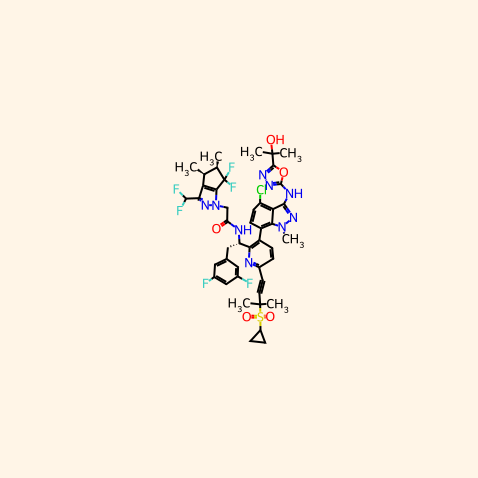 C[C@@H]1c2c(C(F)F)nn(CC(=O)N[C@@H](Cc3cc(F)cc(F)c3)c3nc(C#CC(C)(C)S(=O)(=O)C4CC4)ccc3-c3ccc(Cl)c4c(Nc5nnc(C(C)(C)O)o5)nn(C)c34)c2C(F)(F)[C@@H]1C